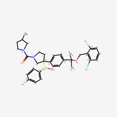 N#CC1CCN(C(=O)N2CC[C@](c3ccc(C(OCc4c(F)cccc4F)(C(F)(F)F)C(F)(F)F)cc3)([S+]([O-])c3ccc(F)cc3)C2)C1